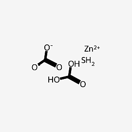 O=C(O)O.O=C([O-])[O-].S.[Zn+2]